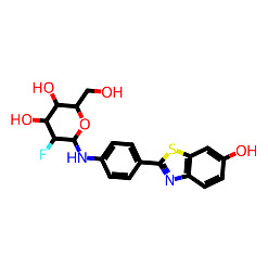 OCC1OC(Nc2ccc(-c3nc4ccc(O)cc4s3)cc2)C(F)C(O)C1O